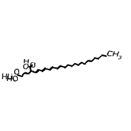 CCCCCCCCCCCCCCCCCCCCC=CC(CCCC(=O)O)C(=O)O.[LiH]